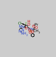 CC(C)OC(=O)[C@H](C)NP(=O)(OCC1O[C@@H](n2cnc3cnc(N)nc32)[C@@](F)(C#CCl)C1O)Oc1ccccc1